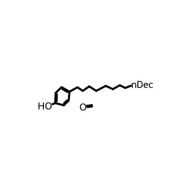 C=O.CCCCCCCCCCCCCCCCCCc1ccc(O)cc1